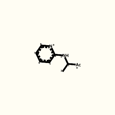 CC(=O)C(C)Nc1ccccn1